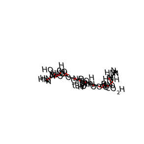 Cc1cc(OCCCC(=O)NCCNC(=O)CCC(NC(=O)OC(C)(C)C)C(=O)NCCNC(=O)CCCOc2cc(C)c(S(=O)(=O)N[C@@H](CNC(=O)c3ccc4c(cnn4CCCNc4ncc[nH]4)c3)C(=O)O)c(C)c2)cc(C)c1S(=O)(=O)N[C@@H](CNC(=O)c1ccc2c(cnn2CCCNc2ncc[nH]2)c1)C(=O)O